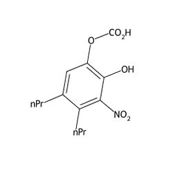 CCCc1cc(OC(=O)O)c(O)c([N+](=O)[O-])c1CCC